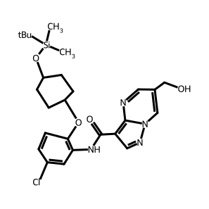 CC(C)(C)[Si](C)(C)OC1CCC(Oc2ccc(Cl)cc2NC(=O)c2cnn3cc(CO)cnc23)CC1